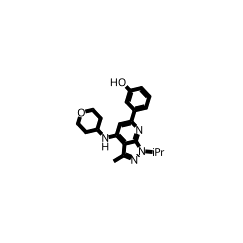 Cc1nn(C(C)C)c2nc(-c3cccc(O)c3)cc(NC3CCOCC3)c12